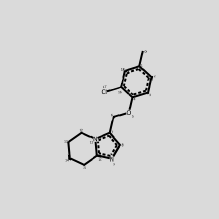 Cc1ccc(OCc2cnc3n2CCCC3)c(Cl)c1